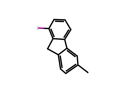 Cc1ccc2c(c1)-c1cccc(I)c1C2